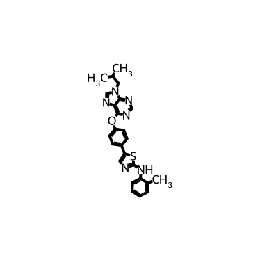 Cc1ccccc1Nc1ncc(-c2ccc(Oc3ncnc4c3ncn4CC(C)C)cc2)s1